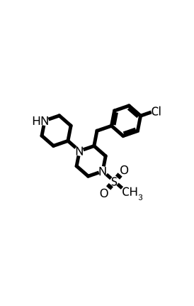 CS(=O)(=O)N1CCN(C2CCNCC2)C(Cc2ccc(Cl)cc2)C1